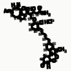 CC(=O)N1CCC2=CC[C@@H](N(C=O)[C@@H](CCC(N)=O)COc3cccc(CCCCCc4ccc5c(c4)n(C)c(=O)n5C4CCC(=O)NC4=O)c3Cl)N2C(=O)[C@@H](N)C1.Cl